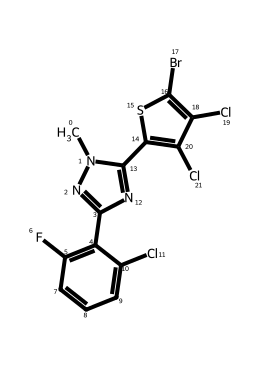 Cn1nc(-c2c(F)cccc2Cl)nc1-c1sc(Br)c(Cl)c1Cl